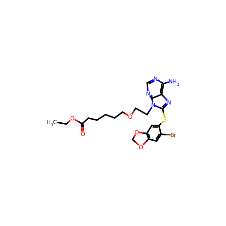 CCOC(=O)CCCCCOCCn1c(Sc2cc3c(cc2Br)OCO3)nc2c(N)ncnc21